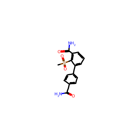 CS(=O)(=O)c1c(C(N)=O)cccc1-c1ccc(C(N)=O)cc1